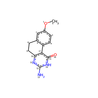 COc1ccc2c(c1)CCc1nc(N)[nH]c(=O)c1-2